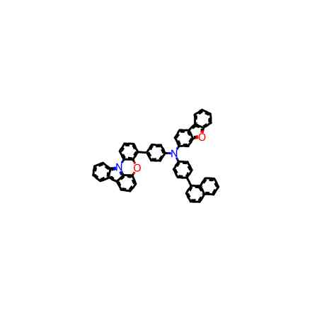 c1cc(-c2ccc(N(c3ccc(-c4cccc5ccccc45)cc3)c3ccc4c(c3)oc3ccccc34)cc2)c2c(c1)-n1c3ccccc3c3cccc(c31)O2